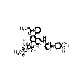 C=CC(=O)N1CCCC[C@H]1c1ccc(N2[C@H](C)[C@@H](CS(C)(=O)=O)C2(C)C)c2cnc(Nc3ccnc(N4CCC(C)(O)CC4)n3)cc12